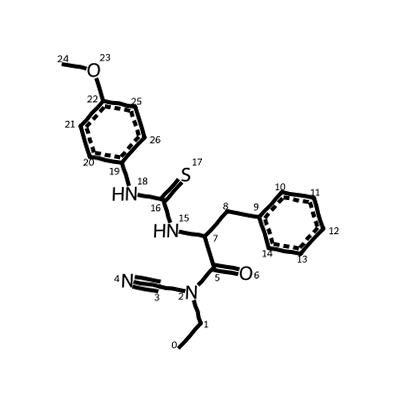 CCN(C#N)C(=O)C(Cc1ccccc1)NC(=S)Nc1ccc(OC)cc1